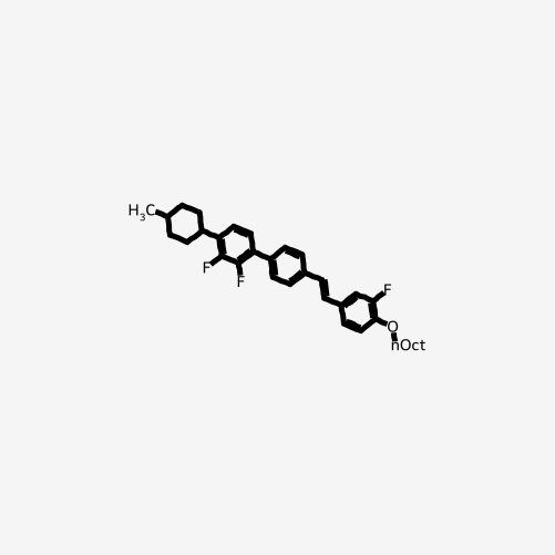 CCCCCCCCOc1ccc(/C=C/c2ccc(-c3ccc(C4CCC(C)CC4)c(F)c3F)cc2)cc1F